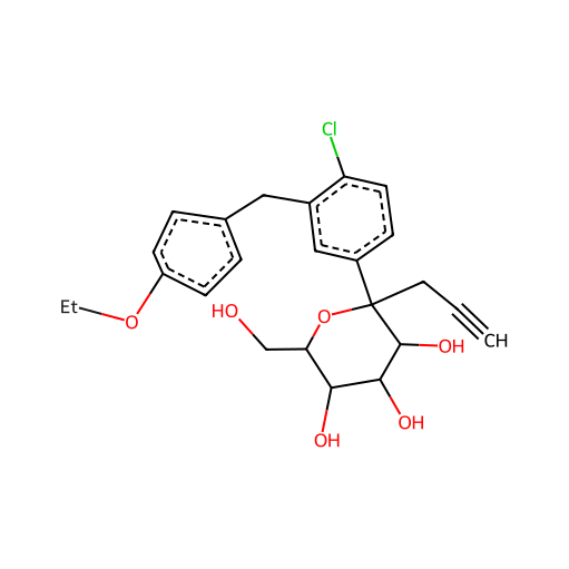 C#CCC1(c2ccc(Cl)c(Cc3ccc(OCC)cc3)c2)OC(CO)C(O)C(O)C1O